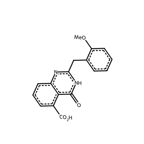 COc1ccccc1Cc1nc2cccc(C(=O)O)c2c(=O)[nH]1